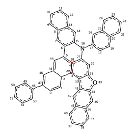 C1=CC2CC=C(c3cc4ccccc4cc3N(c3ccc4ccccc4c3)c3ccc4c(c3)oc3cc5ccccc5cc34)C=C2C=C1c1ccccc1